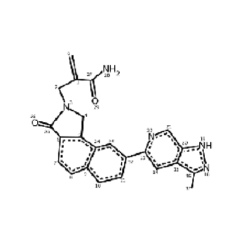 C=C(CN1Cc2c(ccc3ccc(-c4cc5c(C)n[nH]c5cn4)cc23)C1=O)C(N)=O